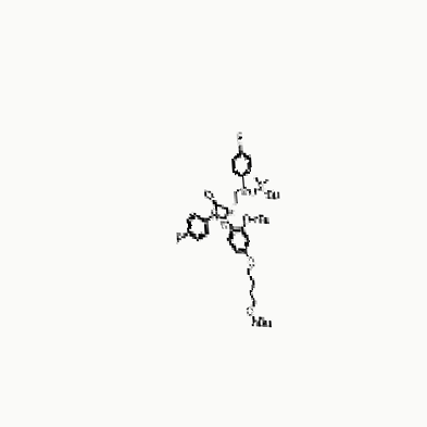 CCCCOCCCCOc1ccc([C@@H]2[C@@H](CC[C@H](O[Si](C)(C)C(C)(C)C)c3ccc(F)cc3)C(=O)N2c2ccc(F)cc2)c(OCCCC)c1